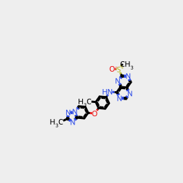 Cc1nc2cc(Oc3ccc(Nc4ncnc5cnc([S+](C)[O-])nc45)cc3C)ccn2n1